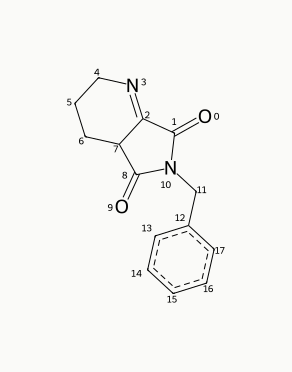 O=C1C2=NCCCC2C(=O)N1Cc1ccccc1